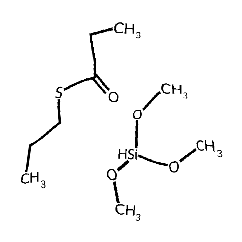 CCCSC(=O)CC.CO[SiH](OC)OC